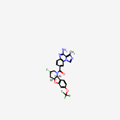 Cc1ncn2c1c(N)nc1ccc(C(=O)N3C[C@@H](F)C[C@@H]4Oc5cc(OC(F)(F)F)ccc5[C@@H]43)cc12